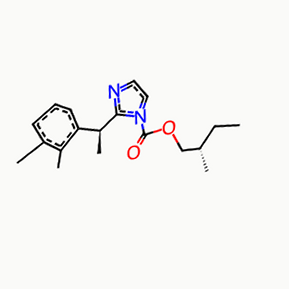 CC[C@H](C)COC(=O)n1ccnc1[C@@H](C)c1cccc(C)c1C